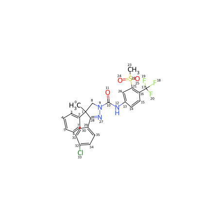 CC1(c2ccccc2)CN(C(=O)Nc2ccc(C(F)(F)F)c(S(C)(=O)=O)c2)N=C1c1ccc(Cl)cc1